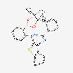 CC1(C)OB(c2ccccc2-c2nc(-c3ccccc3)nc3c2sc2ccccc23)OC1(C)C